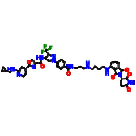 O=C1CCC(N2C(=O)c3cccc(NCCCCNCCCNC(=O)c4ccc(-n5cc(NC(=O)c6coc(-c7ccnc(NCC8CC8)c7)n6)c(C(F)(F)F)n5)cc4)c3C2=O)C(=O)N1